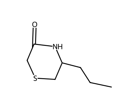 CCCC1CSCC(=O)N1